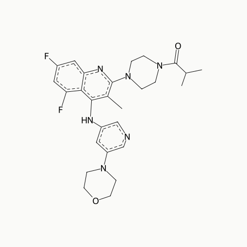 Cc1c(N2CCN(C(=O)C(C)C)CC2)nc2cc(F)cc(F)c2c1Nc1cncc(N2CCOCC2)c1